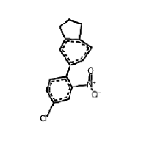 O=[N+]([O-])c1cc(Cl)ccc1-c1ccc2c(c1)CCC2